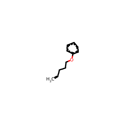 C=CCCCOc1ccccc1